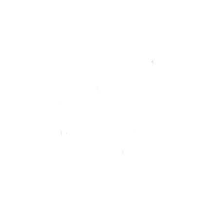 O=C(O)c1c(O)c(O)c(O)c(O)c1C(=O)OCCO